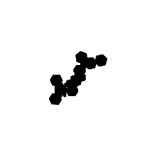 c1ccc(-c2ccc3c(c2)c2ccccc2n3-c2ccc3c(c2)oc2cc4c(cc23)oc2c(-c3nc(-c5ccccc5)nc(-c5ccccc5)n3)cccc24)cc1